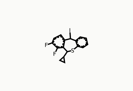 Fc1ccc2c(c1F)C(C1CC1)Sc1ccccc1C2I